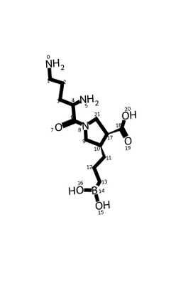 NCCCC(N)C(=O)N1C[C@H](CCCB(O)O)[C@H](C(=O)O)C1